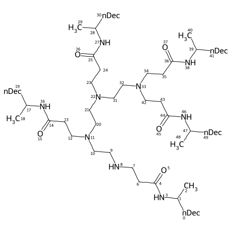 CCCCCCCCCCC(C)NC(=O)CCNCCN(CCC(=O)NC(C)CCCCCCCCCC)CCN(CCC(=O)NC(C)CCCCCCCCCC)CCN(CCC(=O)NC(C)CCCCCCCCCC)CCC(=O)NC(C)CCCCCCCCCC